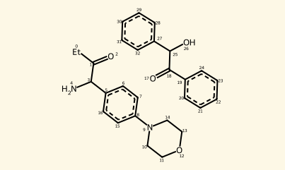 CCC(=O)C(N)c1ccc(N2CCOCC2)cc1.O=C(c1ccccc1)C(O)c1ccccc1